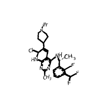 Cc1nc2c(c(N[C@H](C)c3cccc(C(F)F)c3F)n1)C=C(C1CCN(C(C)C)CC1)C(Cl)N2